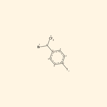 FC(F)(F)C(Br)c1ccc(I)cc1